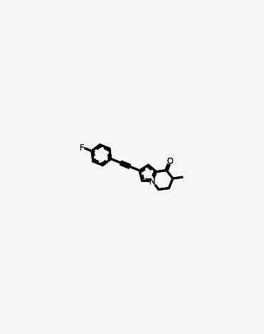 CC1CCn2cc(C#Cc3ccc(F)cc3)cc2C1=O